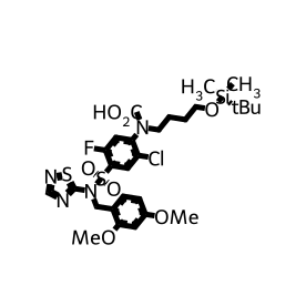 COc1ccc(CN(c2ncns2)S(=O)(=O)c2cc(Cl)c(N(CCCCO[Si](C)(C)C(C)(C)C)C(=O)O)cc2F)c(OC)c1